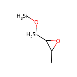 CC1OC1[SiH2]O[SiH3]